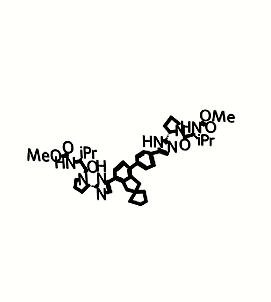 COC(=O)N[C@H](C(=O)N1CCC[C@H]1c1ncc(-c2ccc(-c3ccc(-c4cnc([C@@H]5CCCN5C(=O)[C@@H](NC(=O)OC)C(C)C)[nH]4)c4c3CC3(CCCC3)C4)cc2)[nH]1)C(C)C